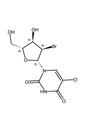 O=c1[nH]c(=O)n([C@@H]2O[C@H](CO)[C@@H](O)[C@H]2Br)cc1Cl